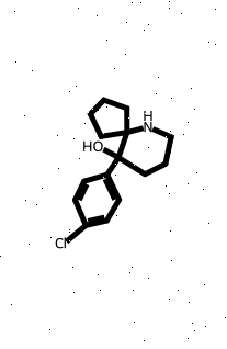 OC1(c2ccc(Cl)cc2)CCCNC12CCCC2